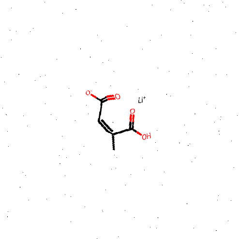 C/C(=C/C(=O)[O-])C(=O)O.[Li+]